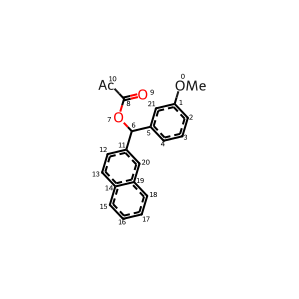 COc1cccc(C(OC(=O)C(C)=O)c2ccc3ccccc3c2)c1